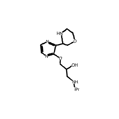 CC(C)NCC(O)COc1nccnc1C1COCCN1